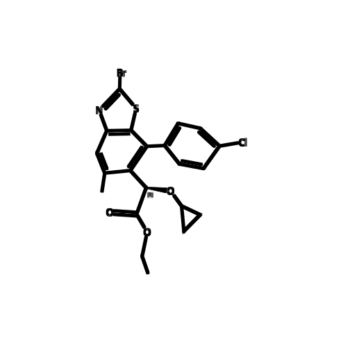 CCOC(=O)[C@H](OC1CC1)c1c(C)cc2nc(Br)sc2c1-c1ccc(Cl)cc1